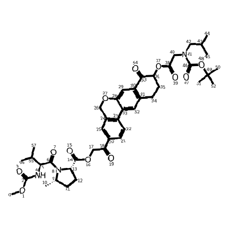 COC(=O)N[C@H](C(=O)N1[C@@H](C)CC[C@H]1C(=O)OCC(=O)c1ccc2c(c1)COc1cc3c(cc1-2)CCC(OC(=O)CN(CC(C)C)C(=O)OC(C)(C)C)C3=O)C(C)C